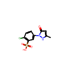 Cc1cc(=O)n(-c2ccc(Cl)c(S(=O)(=O)O)c2)[nH]1